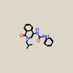 CC(C)Cn1cc(NC(=O)Nc2ccccc2)c2ccccc2c1=O